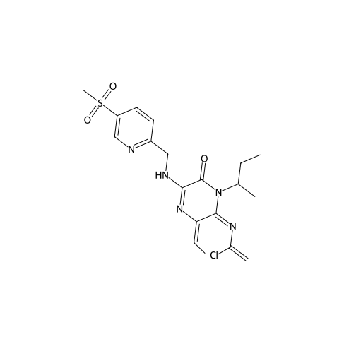 C=C(Cl)/N=C1\C(=C/C)N=C(NCc2ccc(S(C)(=O)=O)cn2)C(=O)N1C(C)CC